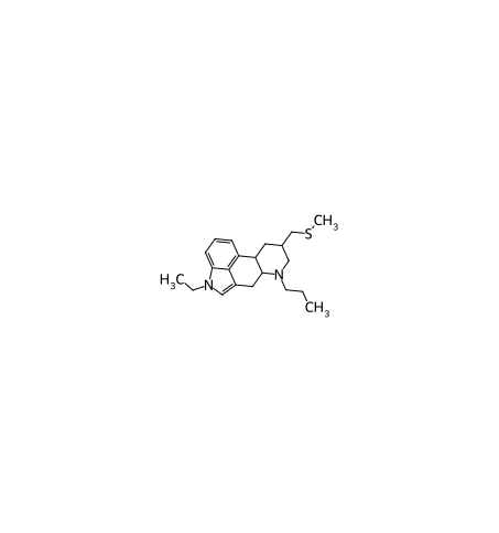 CCCN1CC(CSC)CC2c3cccc4c3c(cn4CC)CC21